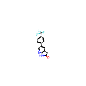 O=C1Cc2cc(-c3ccc(C(F)(F)F)cc3)cnc2N1